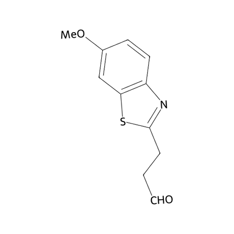 COc1ccc2nc(CCC=O)sc2c1